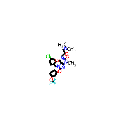 CN(C)CC(=O)Cn1c(=O)c2c(nc(Oc3cccc(OC(F)(F)F)c3)n2Cc2ccc(Cl)cc2)n(C)c1=O